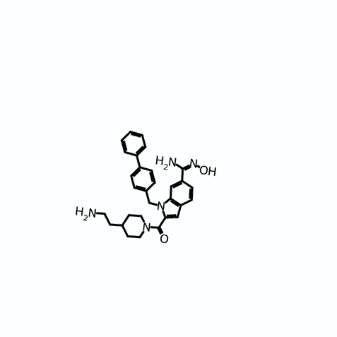 NCCC1CCN(C(=O)c2cc3ccc(/C(N)=N\O)cc3n2Cc2ccc(-c3ccccc3)cc2)CC1